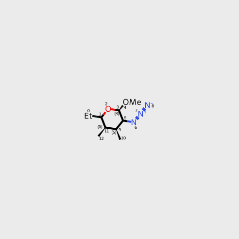 CCC1O[C@@H](OC)C(N=[N+]=[N-])[C@@H](C)[C@H]1C